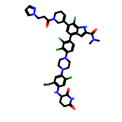 COc1cc(N2CCN(c3ccc(-c4cc(C5=CCCN(C(=O)CCn6cccn6)C5)c(F)c5[nH]c(C(=O)N(C)C)cc45)c(F)c3F)CC2)c(F)cc1NC1CCC(=O)NC1=O